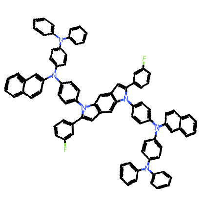 Fc1cccc(-c2cc3cc4c(cc(-c5cccc(F)c5)n4-c4ccc(N(c5ccc(N(c6ccccc6)c6ccccc6)cc5)c5ccc6ccccc6c5)cc4)cc3n2-c2ccc(N(c3ccc(N(c4ccccc4)c4ccccc4)cc3)c3ccc4ccccc4c3)cc2)c1